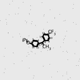 CC(C)Oc1ccc(C(C)c2ccc(C(F)(F)F)cc2)cc1